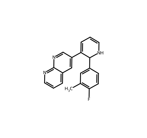 Cc1cc(C2NC=CC=C2c2cnc3ncccc3c2)ccc1F